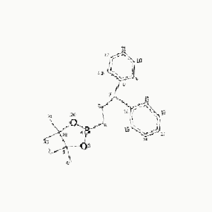 CC1(C)OB(CCC(c2ccccc2)c2ccccc2)OC1(C)C